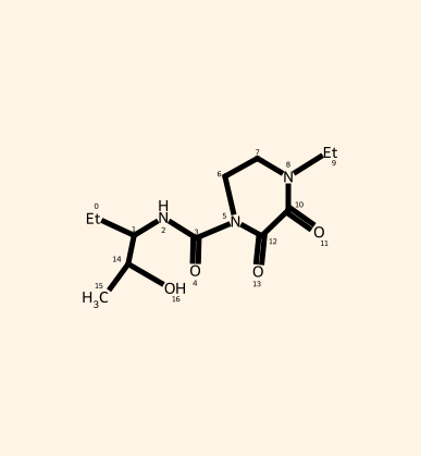 CCC(NC(=O)N1CCN(CC)C(=O)C1=O)C(C)O